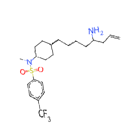 C=CCC(N)CCCCC1CCC(N(C)S(=O)(=O)c2ccc(C(F)(F)F)cc2)CC1